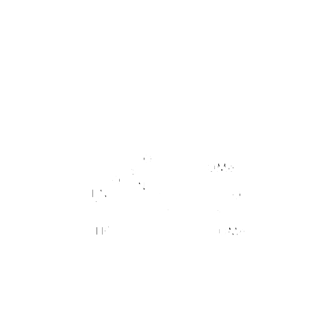 COC(=O)c1cc2cc(CN)n(S(=O)(=O)c3ccc(C)cc3)c2cc1OC.Cl